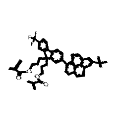 C=C(C)C(=O)OCCCC1(CCCOC(=O)C(=C)C)c2cc(-c3ccc4ccc5cc(C(C)(C)C)cc6ccc3c4c56)ccc2-c2ccc(C(F)(F)F)cc21